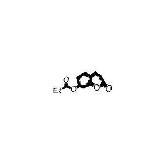 CCC(=O)Oc1ccc2ccc(=O)oc2c1